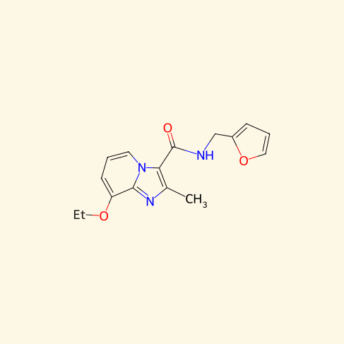 CCOc1cccn2c(C(=O)NCc3ccco3)c(C)nc12